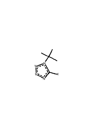 CC(C)(C)n1nnnc1I